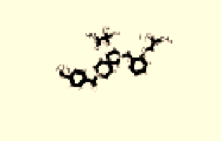 CCc1ccc(C(=O)N2CCC3(CCN(Cc4ccccc4OCC(C)C)C3)CC2)cc1.O=C(O)C(F)(F)F